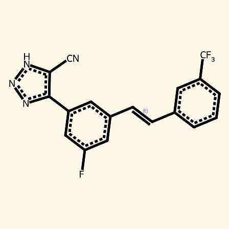 N#Cc1[nH]nnc1-c1cc(F)cc(/C=C/c2cccc(C(F)(F)F)c2)c1